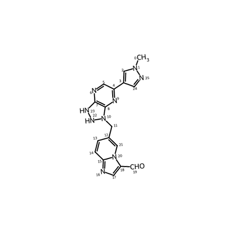 Cn1cc(-c2cnc3c(n2)N(Cc2ccc4ncc(C=O)n4c2)NN3)cn1